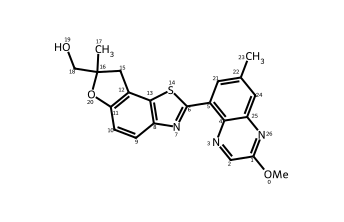 COc1cnc2c(-c3nc4ccc5c(c4s3)CC(C)(CO)O5)cc(C)cc2n1